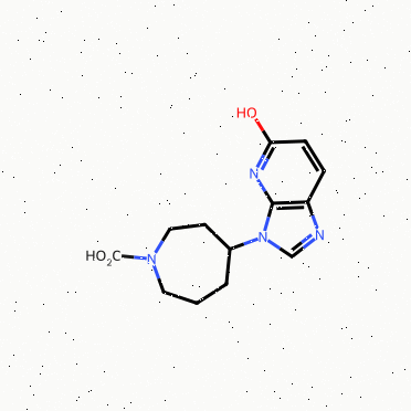 O=C(O)N1CCCC(n2cnc3ccc(O)nc32)CC1